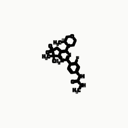 CNC(=O)Nc1ccc(-c2nc(N3CCOC[C@@H]3C)c3c(n2)C(C)(C)S(=O)(=O)C3)c(F)c1